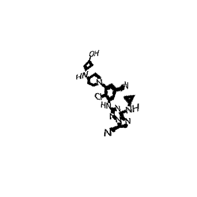 N#Cc1cc(Nc2nc(NC3CC3)c3ncc(C#N)n3n2)c(Cl)c(N2CCC(N[C@H]3C[C@H](O)C3)CC2)c1